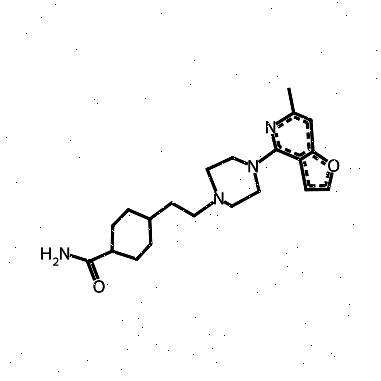 Cc1cc2occc2c(N2CCN(CCC3CCC(C(N)=O)CC3)CC2)n1